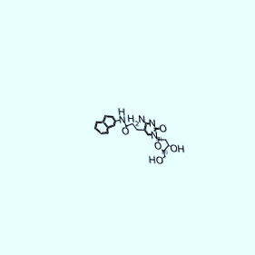 Nc1nc(=O)n([C@H]2CC(O)[C@@H](CO)O2)cc1CCC(=O)Nc1ccc2ccccc2c1